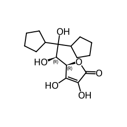 O=C1O[C@H]([C@@H](O)C(O)(C2CCCC2)C2CCCC2)C(O)=C1O